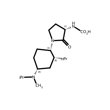 CCC[C@@H]1C[C@H](N(C)C(C)C)CC[C@@H]1N1CC[C@H](NC(=O)O)C1=O